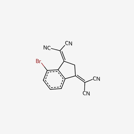 N#CC(C#N)=C1CC(=C(C#N)C#N)c2c(Br)cccc21